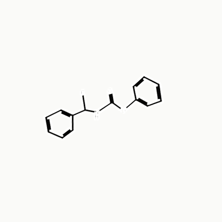 O=C(NC(F)c1ccccc1)Oc1ccccc1